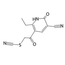 CCc1[nH]c(=O)c(C#N)cc1C(=O)CSC#N